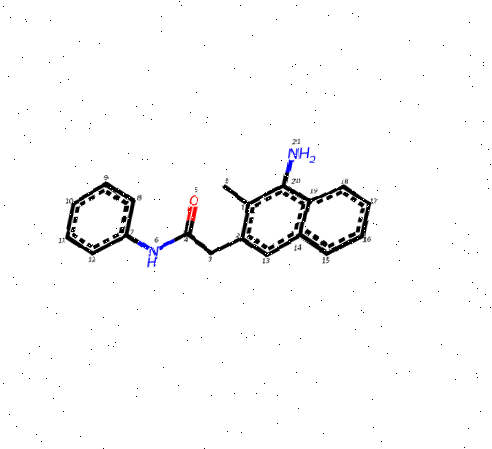 Cc1c(CC(=O)Nc2ccccc2)cc2ccccc2c1N